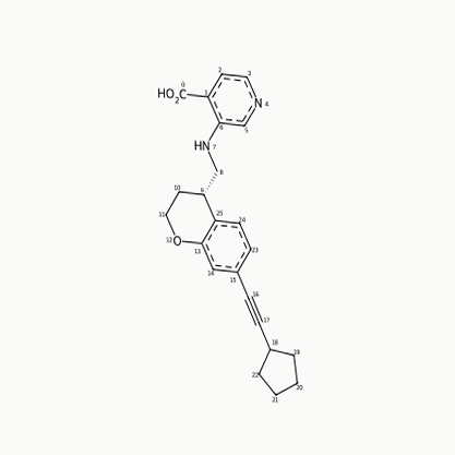 O=C(O)c1ccncc1NC[C@H]1CCOc2cc(C#CC3CCCC3)ccc21